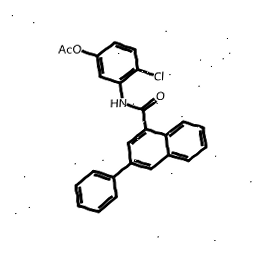 CC(=O)Oc1ccc(Cl)c(NC(=O)c2cc(-c3ccccc3)cc3ccccc23)c1